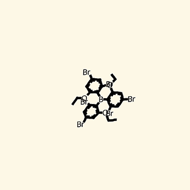 CCOc1cc(Br)cc(Br)c1B(c1c(Br)cc(Br)cc1OCC)c1c(Br)cc(Br)cc1OCC